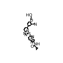 N#Cc1cc(-c2ccc3nnc(Sc4ccc5nc(NC(=O)C6CC6)cn5n4)n3c2)ccc1OCCO